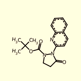 CC(C)(C)OC(=O)N1CCC(=O)N1c1ccc2ccccc2n1